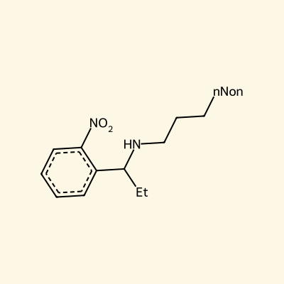 CCCCCCCCCCCCNC(CC)c1ccccc1[N+](=O)[O-]